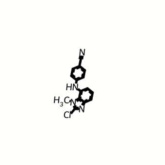 Cn1c(Cl)nc2cccc(Nc3ccc(C#N)cc3)c21